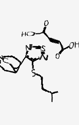 CC(C)CCSc1nsnc1C1CN2CCC1CC2.O=C(O)C=CC(=O)O